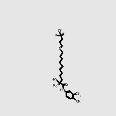 N#Cc1ccc(NC(=O)C(O)(CCCCCCCCCSCCCC(F)(F)C(F)(F)F)C(F)(F)F)cc1C(F)(F)F